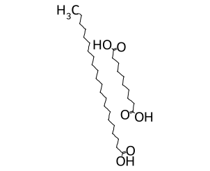 CCCCCCCCCCCCCCCCCCCCCC(=O)O.O=C(O)CCCCCCCCC(=O)O